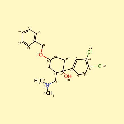 CN(C)CC1CC(OCc2ccccc2)CCC1(O)c1ccc(Cl)c(Cl)c1